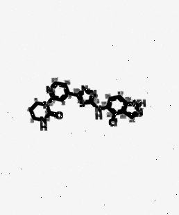 O=C1NCCCN1c1cc(-c2nnc(Nc3ccc4[nH]ncc4c3Cl)s2)ccn1